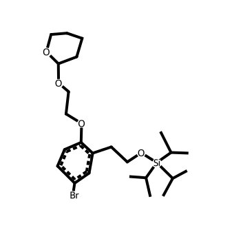 CC(C)[Si](OCCc1cc(Br)ccc1OCCOC1CCCCO1)(C(C)C)C(C)C